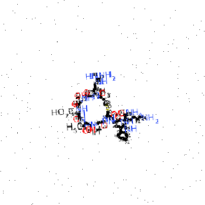 CC(C)C[C@@H]1NC(=O)[C@H]([C@@H](C)O)NC(=O)[C@H](CC(=O)O)NC(=O)[C@H](CO)NC(=O)[C@H](CCCNC(=N)N)N(C)C(=O)CCSC[C@@H](C(=O)N[C@@H](Cc2c[nH]c3ccccc23)C(=O)N[C@@H](CCCCN)C(N)=O)NC1=O